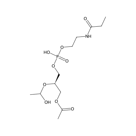 CCC(=O)NCCOP(=O)(O)OC[C@@H](COC(C)=O)OC(C)O